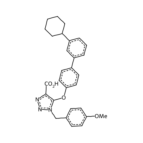 COc1ccc(Cn2nnc(C(=O)O)c2Oc2ccc(-c3cccc(C4CCCCC4)c3)cc2)cc1